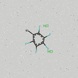 Cl.Cl.Fc1c(F)c(F)[c]([In])c(F)c1F